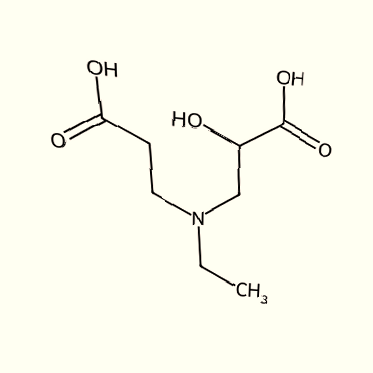 CCN(CCC(=O)O)CC(O)C(=O)O